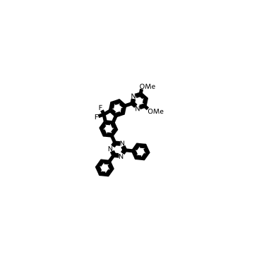 COc1cc(OC)nc(-c2ccc3c(c2)-c2cc(-c4nc(-c5ccccc5)nc(-c5ccccc5)n4)ccc2C3(F)F)n1